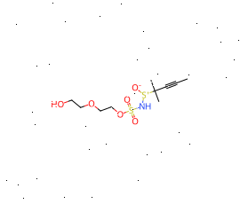 CC#CC(C)(C)[S+]([O-])NS(=O)(=O)OCCOCCO